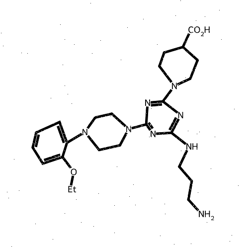 CCOc1ccccc1N1CCN(c2nc(NCCCN)nc(N3CCC(C(=O)O)CC3)n2)CC1